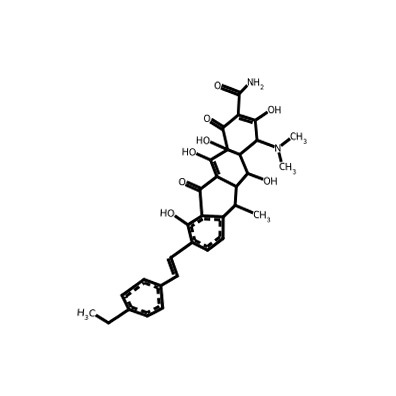 CCc1ccc(/C=C/c2ccc3c(c2O)C(=O)C2=C(O)C4(O)C(=O)C(C(N)=O)=C(O)C(N(C)C)C4C(O)C2C3C)cc1